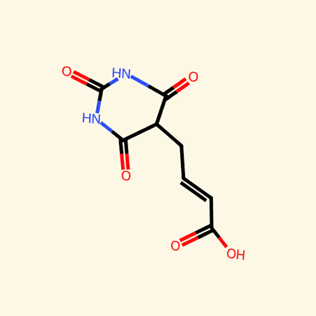 O=C(O)C=CCC1C(=O)NC(=O)NC1=O